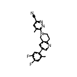 Cc1cc(F)c(F)cc1-c1cnc2c(c1)CN(c1nnc(C#N)cc1C)CC2